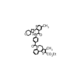 CCOC(=O)c1sc2c(c1C)CCN(C(=O)c1ccc(NC(=O)c3cc(C)cnc3N3CC4(CCOCC4)C3)cc1)c1ccccc1-2